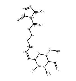 COC(C=O)[C@@H](CO)O[C@H](/C=N\NCCCC(=O)N1C(=O)C=CC1=O)OC